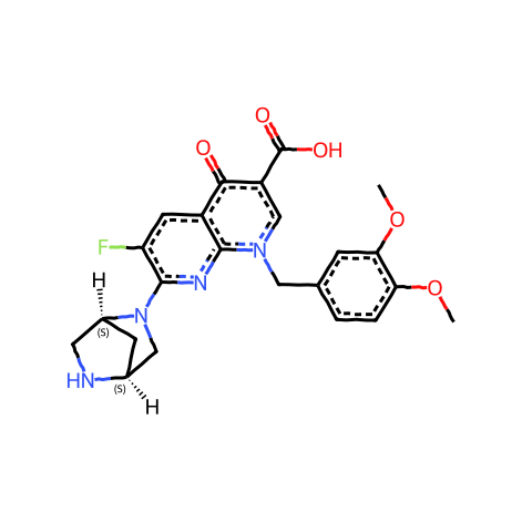 COc1ccc(Cn2cc(C(=O)O)c(=O)c3cc(F)c(N4C[C@@H]5C[C@H]4CN5)nc32)cc1OC